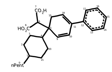 CCCCCC1CCC(C2(C(C(=O)O)C(=O)O)C=CC(c3ccccc3)=CC2)CC1